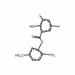 Cc1ccc(C(=O)O)cc1OC(=O)c1cc(I)cc(I)c1O